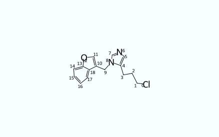 ClCCCc1cncn1Cc1coc2ccccc12